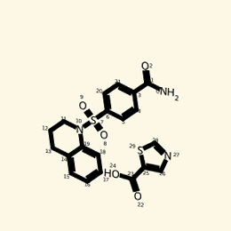 NC(=O)c1ccc(S(=O)(=O)N2CCCc3ccccc32)cc1.O=C(O)c1cncs1